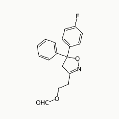 O=COCCC1=NOC(c2ccccc2)(c2ccc(F)cc2)C1